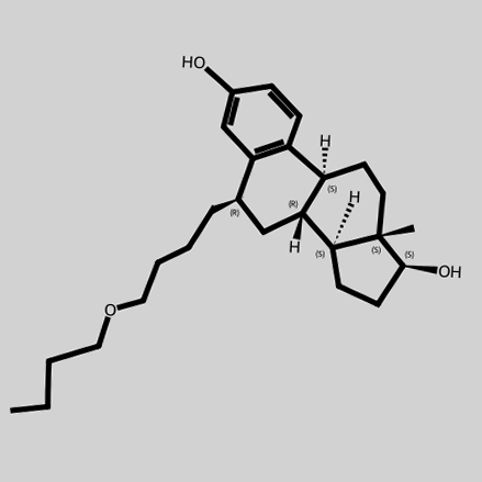 CCCCOCCCC[C@@H]1C[C@@H]2[C@H](CC[C@]3(C)[C@@H](O)CC[C@@H]23)c2ccc(O)cc21